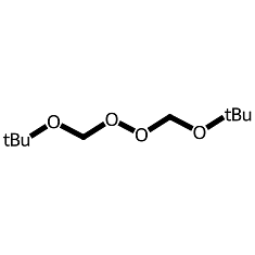 CC(C)(C)OCOOCOC(C)(C)C